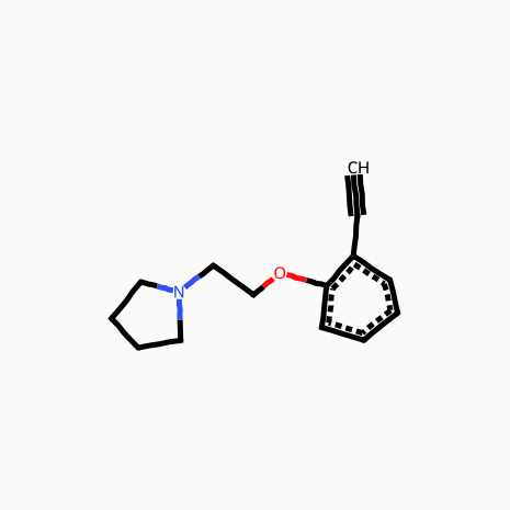 C#Cc1ccccc1OCCN1CCCC1